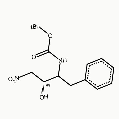 CC(C)(C)OC(=O)NC(Cc1ccccc1)[C@H](O)C[N+](=O)[O-]